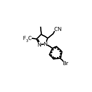 CC1C(C(F)(F)F)=NN(c2ccc(Br)cc2)C1CC#N